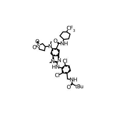 CN(c1cc2c(cc1C(=O)NC1CCC(C(F)(F)F)CC1)nc(Nc1c(Cl)ccc(CNC(=O)C(C)(C)C)c1Cl)n2C)C1CCS(=O)(=O)C1